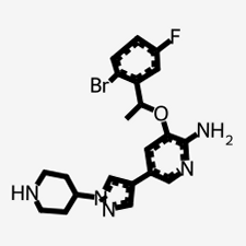 CC(Oc1cc(-c2cnn(C3CCNCC3)c2)cnc1N)c1cc(F)ccc1Br